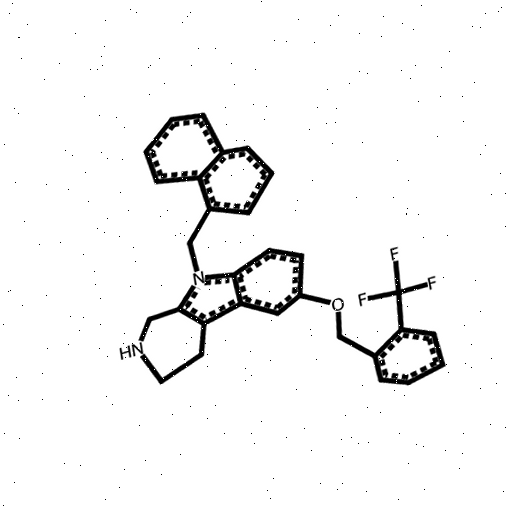 FC(F)(F)c1ccccc1COc1ccc2c(c1)c1c(n2Cc2cccc3ccccc23)CNCC1